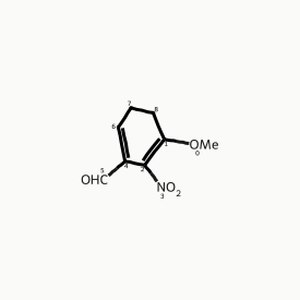 COC1=C([N+](=O)[O-])C(C=O)=CCC1